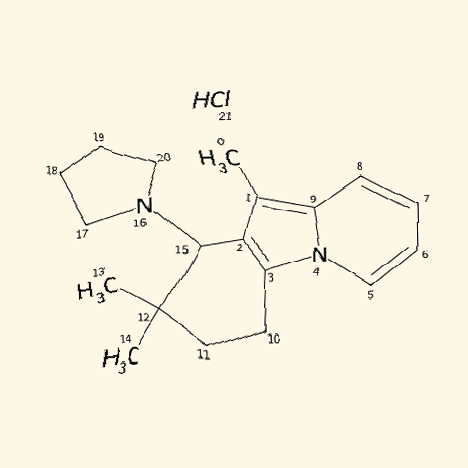 Cc1c2c(n3ccccc13)CCC(C)(C)C2N1CCCC1.Cl